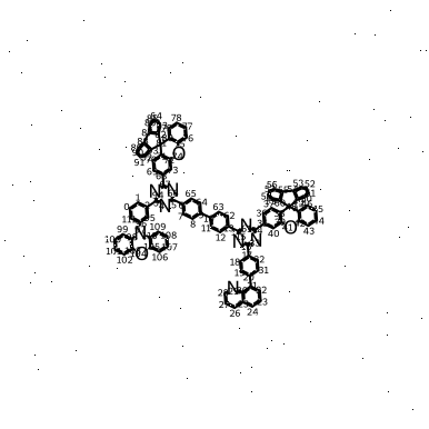 c1cc(-c2nc(-c3ccc(-c4ccc(-c5nc(-c6ccc(-c7cccc8cccnc78)cc6)nc(-c6ccc7c(c6)Oc6ccccc6C76c7ccccc7-c7ccccc76)n5)cc4)cc3)nc(-c3ccc4c(c3)Oc3ccccc3C43c4ccccc4-c4ccccc43)n2)cc(N2c3ccccc3Oc3ccccc32)c1